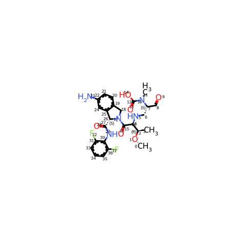 CO[C@H](C)[C@H](NC[C@@H](C=O)N(C)C(=O)O)C(=O)N1Cc2ccc(N)cc2[C@H]1C(=O)Nc1c(F)cccc1F